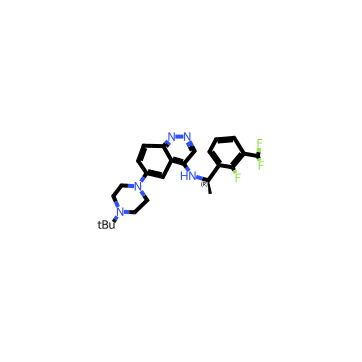 C[C@@H](Nc1cnnc2ccc(N3CCN(C(C)(C)C)CC3)cc12)c1cccc(C(F)F)c1F